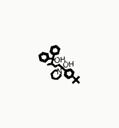 CC(CCC(O)(c1ccc(C(C)(C)C)cc1)N1CCCCC1)C(O)(c1ccccc1)c1ccccc1